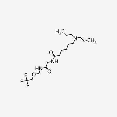 CCCN(CCC)CCCCCC(=O)NCC(=O)NCOCC(F)(F)F